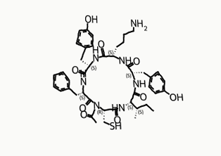 CC[C@H](C)[C@@H]1NC(=O)[C@H](CS)N(C(C)=O)C(=O)[C@H](Cc2ccccc2)NC(=O)[C@H](Cc2ccc(O)cc2)NC(=O)[C@H](CCCCN)NC(=O)[C@H](Cc2ccc(O)cc2)NC1=O